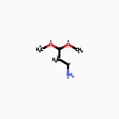 COC(OC)[SiH2]CN